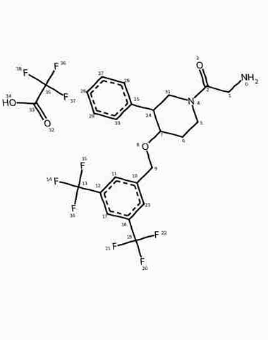 NCC(=O)N1CCC(OCc2cc(C(F)(F)F)cc(C(F)(F)F)c2)C(c2ccccc2)C1.O=C(O)C(F)(F)F